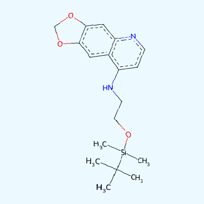 CC(C)(C)[Si](C)(C)OCCNc1ccnc2cc3c(cc12)OCO3